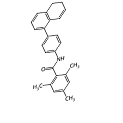 Cc1cc(C)c(C(=O)Nc2ccc(-c3cccc4c3C=CCC4)cc2)c(C)c1